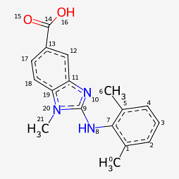 Cc1cccc(C)c1Nc1nc2cc(C(=O)O)ccc2n1C